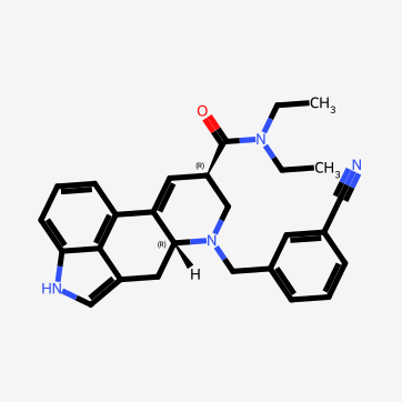 CCN(CC)C(=O)[C@@H]1C=C2c3cccc4[nH]cc(c34)C[C@H]2N(Cc2cccc(C#N)c2)C1